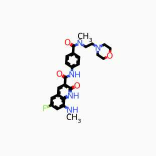 CNc1cc(F)cc2cc(C(=O)Nc3ccc(C(=O)N(C)CCN4CCOCC4)cc3)c(=O)[nH]c12